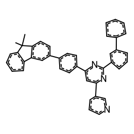 CC1(C)c2ccccc2-c2cc(-c3ccc(-c4cc(-c5cccnc5)nc(-c5cccc(-c6ccccc6)c5)n4)cc3)ccc21